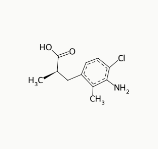 Cc1c(C[C@@H](C)C(=O)O)ccc(Cl)c1N